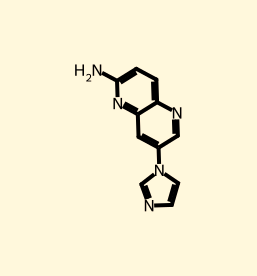 Nc1ccc2ncc(-n3ccnc3)cc2n1